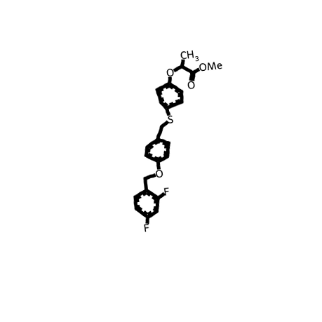 COC(=O)C(C)Oc1ccc(SCc2ccc(OCc3ccc(F)cc3F)cc2)cc1